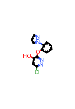 Oc1cc(Cl)nnc1Oc1ccccc1-n1cccn1